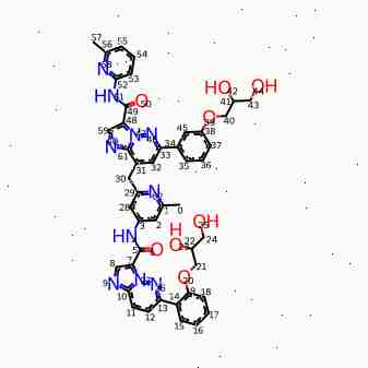 Cc1cc(NC(=O)c2cnc3ccc(-c4ccccc4OCC(O)CO)nn23)cc(Cc2cc(-c3cccc(OCC(O)CO)c3)nn3c(C(=O)Nc4cccc(C)n4)cnc23)n1